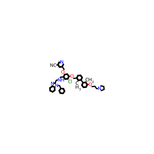 Cc1c(COc2cc(OCc3cncc(C#N)c3)c(CNCc3nc4ccccc4n3Cc3ccccc3)cc2Cl)cccc1-c1cccc(OCCCN2CCCC2)c1C